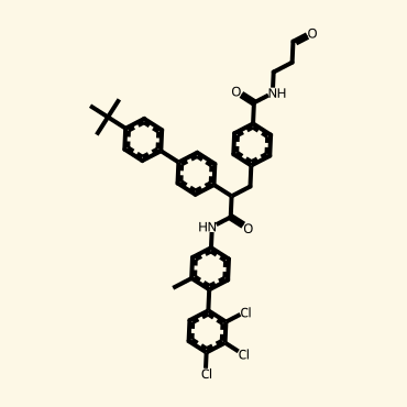 Cc1cc(NC(=O)C(Cc2ccc(C(=O)NCCC=O)cc2)c2ccc(-c3ccc(C(C)(C)C)cc3)cc2)ccc1-c1ccc(Cl)c(Cl)c1Cl